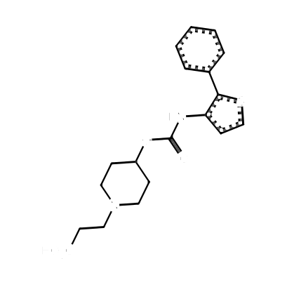 O=C(O)CCN1CCC(OC(=O)Nc2ccsc2-c2ccccc2)CC1